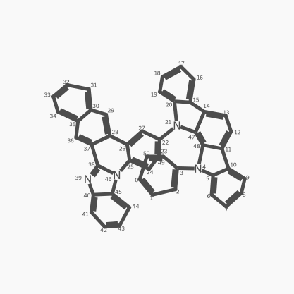 c1ccc(-n2c3ccccc3c3ccc4c5ccccc5n(-c5ccc6c(c5)c5cc7ccccc7cc5c5nc7ccccc7n65)c4c32)cc1